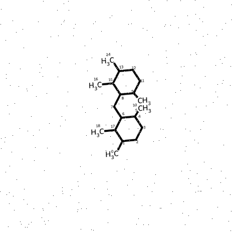 CC1CCC(C)C(CC2C(C)CCC(C)C2C)C1C